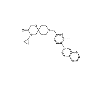 O=C1COC2(CCN(Cc3ccc(-c4ccc5cccnc5c4)c(F)n3)CC2)CN1C1CC1